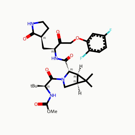 COC(=O)N[C@H](C(=O)N1C[C@H]2[C@@H]([C@H]1C(=O)N[C@@H](C[C@@H]1CCNC1=O)C(=O)COc1cc(F)ccc1F)C2(C)C)C(C)(C)C